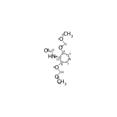 COCOc1cccc(OCOC)c1NC=O